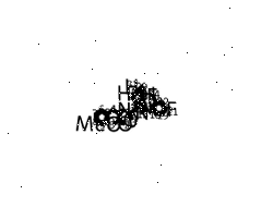 COC(=O)C(Cc1ccccc1)NC(=O)c1nn(-c2ccc(F)cc2F)c2c1C[C@H]1C[C@@H]21